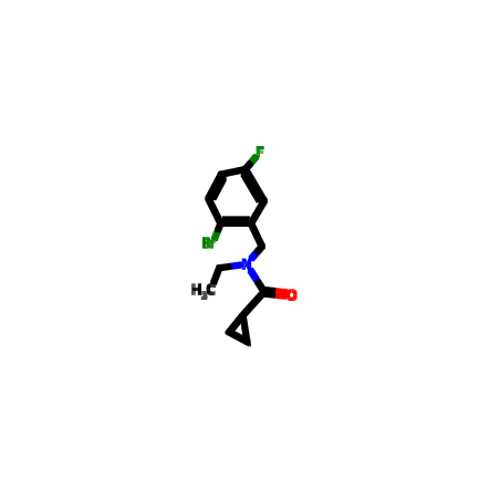 CCN(Cc1cc(F)ccc1Br)C(=O)C1CC1